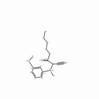 CCCCCC(=O)C(C#N)N(C)c1cccc(OC)c1